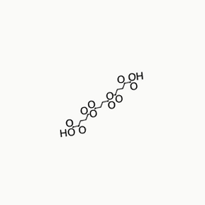 O=C(CCC(=O)OC(=O)CCC(=O)C(=O)O)OC(=O)CCC(=O)C(=O)O